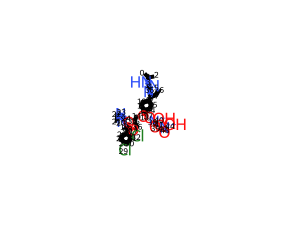 CC(C)Nc1nccc(-c2ccc(OCC3COC(Cn4ccnc4)(c4ccc(Cl)cc4Cl)O3)cc2)n1.O=[N+]([O-])O.O=[N+]([O-])O